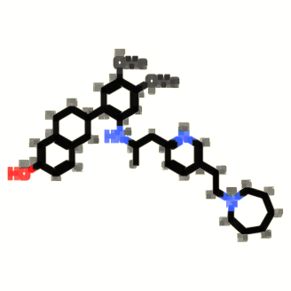 COc1cc(NC(C)Cc2ccc(CCN3CCCCCC3)cn2)c(C2CCc3cc(O)ccc3C2)cc1OC